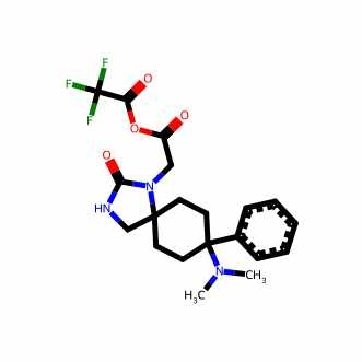 CN(C)C1(c2ccccc2)CCC2(CC1)CNC(=O)N2CC(=O)OC(=O)C(F)(F)F